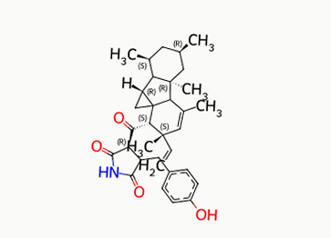 C=C[C@@]1(C)C=C(C)C2C3(C[C@@H]3C3[C@@H](C)C[C@@H](C)C[C@]32C)[C@H]1C(=O)[C@@H]1C(=O)NC(=O)C1Cc1ccc(O)cc1